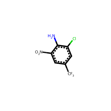 Nc1c(Cl)cc(C(F)(F)F)cc1[N+](=O)[O-]